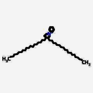 CCCCCCCCCCCCCCCCCCCc1cc[n+](-c2ccccc2)cc1CCCCCCCCCCCCCCCCCCC